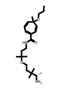 CCCOC1(C)C=CC=C(C(=O)NCCC(C)(C)OCCC(C)(C)[C@H](C)N)C=C1